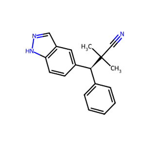 CC(C)(C#N)[C@@H](c1ccccc1)c1ccc2[nH]ncc2c1